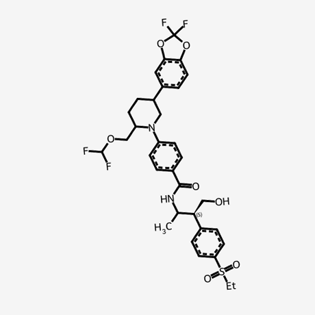 CCS(=O)(=O)c1ccc([C@H](CO)C(C)NC(=O)c2ccc(N3CC(c4ccc5c(c4)OC(F)(F)O5)CCC3COC(F)F)cc2)cc1